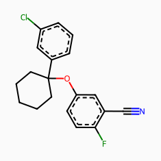 N#Cc1cc(OC2(c3cccc(Cl)c3)CCCCC2)ccc1F